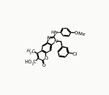 COc1ccc(Nc2nc3cc4c(C)c(C(=O)O)c(=O)oc4cc3n2Cc2cccc(Cl)c2)cc1